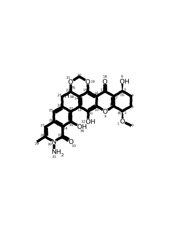 CO[C@@H]1CC[C@H](O)c2c1oc1c(O)c3c4c(c1c2=O)OCO[C@@H]4Cc1cc2cc(C)n(N)c(=O)c2c(O)c1-3